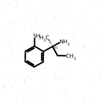 CC[C@](C)(N)c1ccccc1S